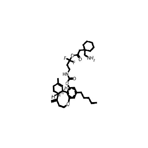 C=C1CCOc2cc(CCCCC)cc(OC(=O)NCCC(F)(F)OC(=O)CC3(CN)CCCCC3)c2[C@@H]2C=C(C)CC[C@@H]12